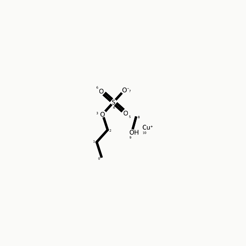 CCCOS(=O)(=O)[O-].CO.[Cu+]